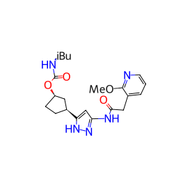 CC[C@H](C)NC(=O)O[C@@H]1CC[C@H](c2cc(NC(=O)Cc3cccnc3OC)n[nH]2)C1